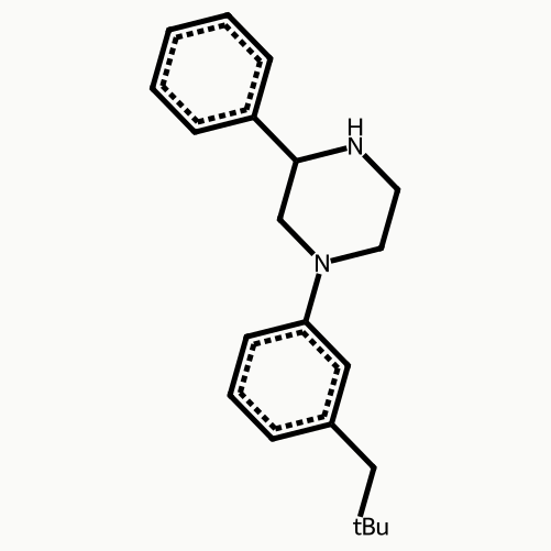 CC(C)(C)Cc1cccc(N2CCNC(c3ccccc3)C2)c1